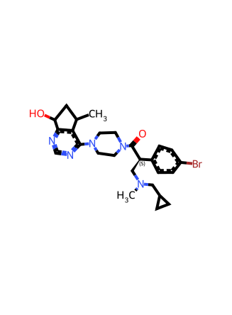 CC1CC(O)c2ncnc(N3CCN(C(=O)[C@H](CN(C)CC4CC4)c4ccc(Br)cc4)CC3)c21